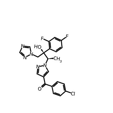 C[C@@H](n1cc(C(=O)c2ccc(Cl)cc2)cn1)[C@](O)(Cn1cncn1)c1ccc(F)cc1F